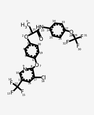 CC(Oc1ccc(Oc2ncc(C(F)(F)F)cc2Cl)cc1)C(=O)Nc1ccc(OC(F)(F)F)cc1